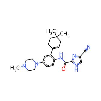 CN1CCN(c2ccc(NC(=O)c3nc(C#N)c[nH]3)c(C3=CCC(C)(C)CC3)c2)CC1